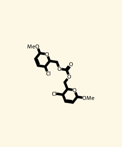 COC1C=CC(Cl)C(COC(=O)OCC2OC(OC)C=CC2Cl)O1